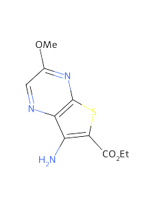 CCOC(=O)c1sc2nc(OC)cnc2c1N